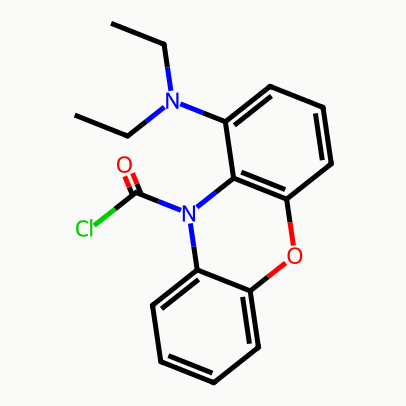 CCN(CC)c1cccc2c1N(C(=O)Cl)c1ccccc1O2